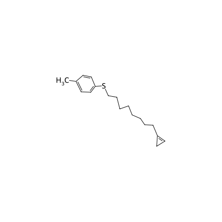 Cc1ccc(SCCCCCCCCC2=CC2)cc1